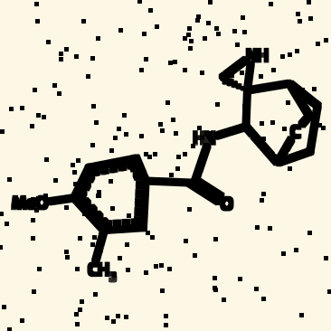 COc1ccc(C(=O)NC2C3CCC(CC3)[C@@]23CN3)cc1C